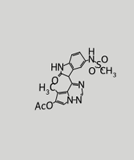 CC(=O)Oc1cn2ncnc(C3C(=O)Nc4ccc(NS(C)(=O)=O)cc43)c2c1C